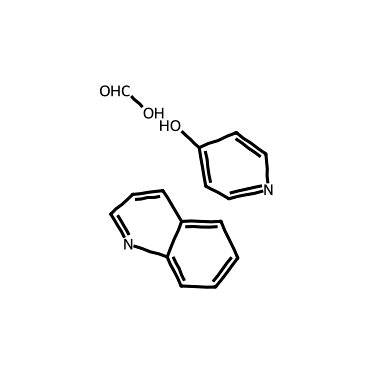 O=CO.Oc1ccncc1.c1ccc2ncccc2c1